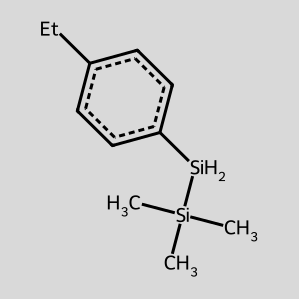 CCc1ccc([SiH2][Si](C)(C)C)cc1